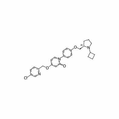 O=c1cc(OCc2ccc(Cl)cn2)ccn1-c1ccc(OC[C@H]2CCCN2C2CCC2)cc1